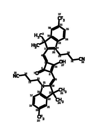 CC1(C)C(/C=C2/C(=O)C(/C=C3\N(CCCC#N)c4ccc(C(F)(F)F)cc4C3(C)C)=C2O)=[N+](CCCC#N)c2ccc(C(F)(F)F)cc21